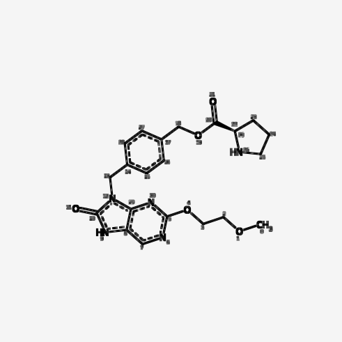 COCCOc1ncc2[nH]c(=O)n(Cc3ccc(COC(=O)[C@H]4CCCN4)cc3)c2n1